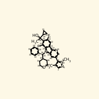 Cc1cnn(C)c1-c1cnc2c3cc(F)c(C(C)(O)C4CC4)c(F)c3n([C@H](c3ccccc3)C3CCOCC3)c2c1